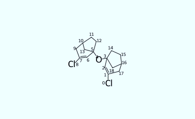 ClC1=CC2(OC34C=C(Cl)CC(CC3)C4)CCC(C1)C2